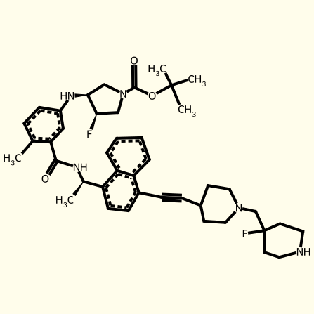 Cc1ccc(N[C@H]2CN(C(=O)OC(C)(C)C)C[C@H]2F)cc1C(=O)N[C@H](C)c1ccc(C#CC2CCN(CC3(F)CCNCC3)CC2)c2ccccc12